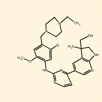 CCN1CCN(Cc2cc(OC)c(Nc3nccc(-c4cnc5c(c4)C(C)(CO)CN5)n3)cc2Cl)CC1